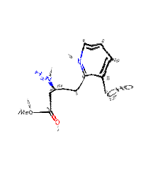 COC(=O)[C@@H](N)Cc1ncccc1C=O